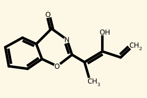 C=C/C(O)=C(\C)c1nc(=O)c2ccccc2o1